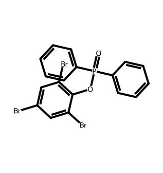 O=P(Oc1c(Br)cc(Br)cc1Br)(c1ccccc1)c1ccccc1